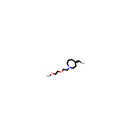 CCC/C=C1/CCCN(CCOCCOCCC)CC1